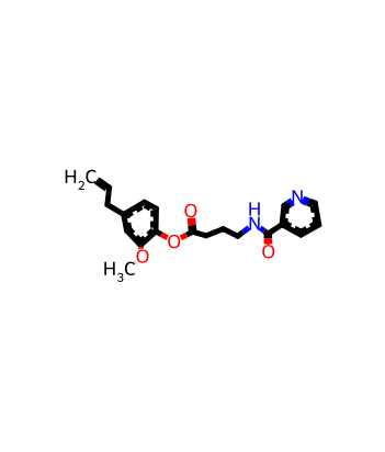 C=CCc1ccc(OC(=O)CCCNC(=O)c2cccnc2)c(OC)c1